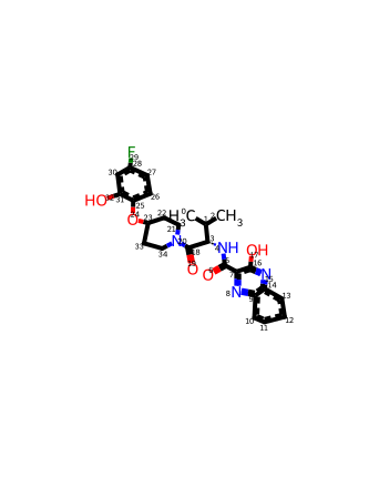 CC(C)[C@H](NC(=O)c1nc2ccccc2nc1O)C(=O)N1CCC(Oc2ccc(F)cc2O)CC1